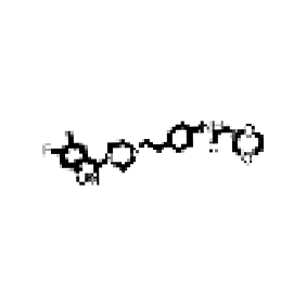 Cc1cc2c(N3CCN(CCC4CCC(NC(=O)C[C@@H]5COCCO5)CC4)CC3)noc2cc1F